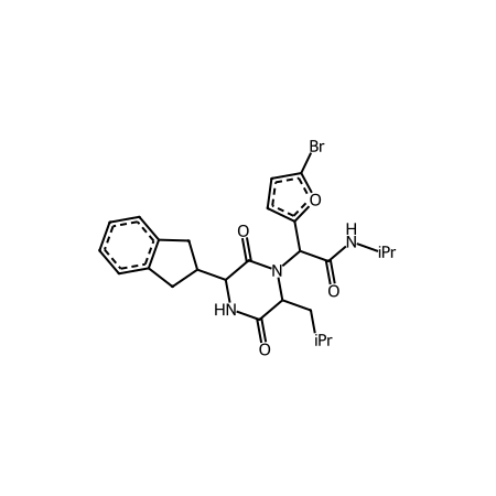 CC(C)CC1C(=O)NC(C2Cc3ccccc3C2)C(=O)N1C(C(=O)NC(C)C)c1ccc(Br)o1